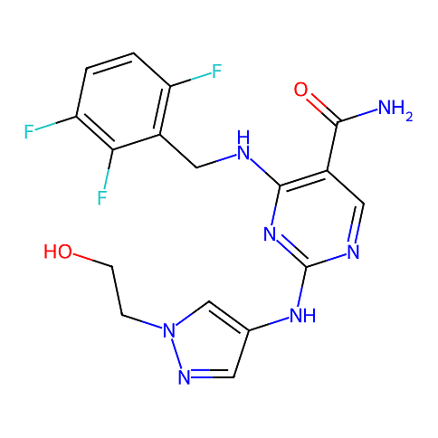 NC(=O)c1cnc(Nc2cnn(CCO)c2)nc1NCc1c(F)ccc(F)c1F